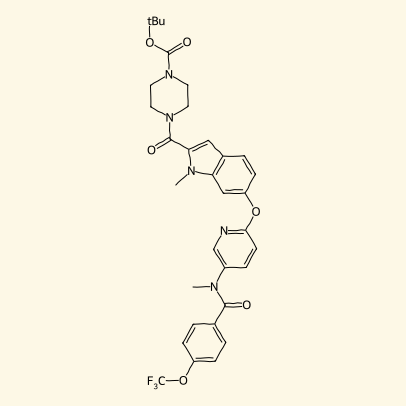 CN(C(=O)c1ccc(OC(F)(F)F)cc1)c1ccc(Oc2ccc3cc(C(=O)N4CCN(C(=O)OC(C)(C)C)CC4)n(C)c3c2)nc1